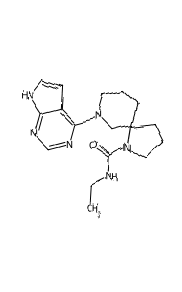 CCNC(=O)N1CCCC12CCCN(c1ncnc3[nH]ccc13)C2